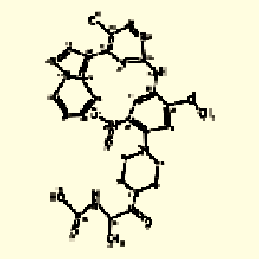 COc1cc(N2CCN(C(=O)C(C)NC(=O)O)CC2)c([N+](=O)[O-])cc1Nc1ncc(Cl)c(-c2cnn3ccccc23)n1